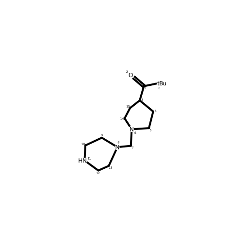 CC(C)(C)C(=O)C1CCN(CN2CCNCC2)CC1